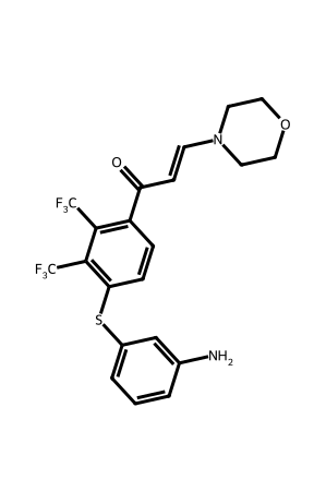 Nc1cccc(Sc2ccc(C(=O)C=CN3CCOCC3)c(C(F)(F)F)c2C(F)(F)F)c1